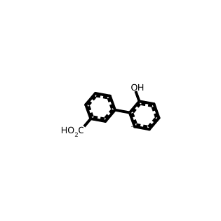 O=C(O)c1cccc(-c2[c]cccc2O)c1